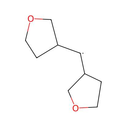 [CH](C1CCOC1)C1CCOC1